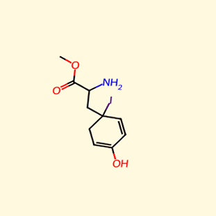 COC(=O)C(N)CC1(I)C=CC(O)=CC1